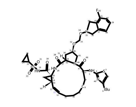 CC(C)(C)c1csc(N[C@H]2CCCCC/C=C\[C@@H]3C[C@@]3(C(=O)NS(=O)(=O)C3CC3)NC(=O)[C@@H]3C[C@@H](OCON4Cc5cccc(F)c5C4)CN3C2=O)n1